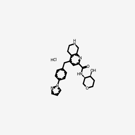 Cl.O=C(N[C@@H]1COCC[C@@H]1O)c1cc(Cc2ccc(-n3cccn3)cc2)c2c(n1)CNCC2